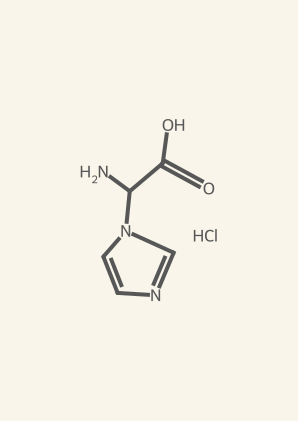 Cl.NC(C(=O)O)n1ccnc1